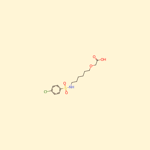 O=C(O)COCCCCCCNS(=O)(=O)c1ccc(Cl)cc1